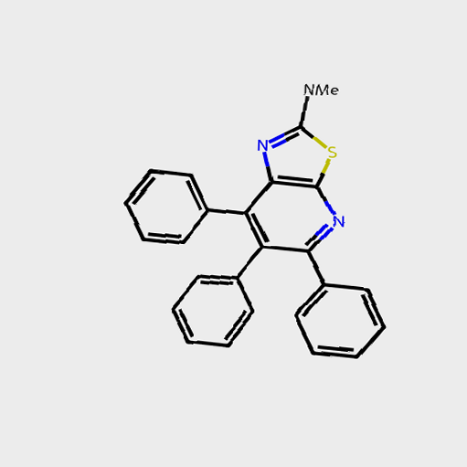 CNc1nc2c(-c3ccccc3)c(-c3ccccc3)c(-c3ccccc3)nc2s1